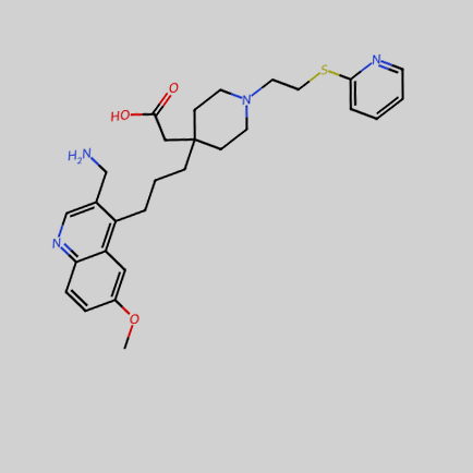 COc1ccc2ncc(CN)c(CCCC3(CC(=O)O)CCN(CCSc4ccccn4)CC3)c2c1